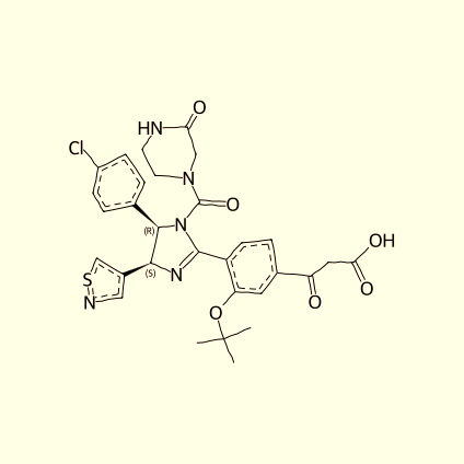 CC(C)(C)Oc1cc(C(=O)CC(=O)O)ccc1C1=N[C@@H](c2cnsc2)[C@@H](c2ccc(Cl)cc2)N1C(=O)N1CCNC(=O)C1